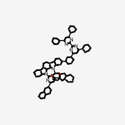 c1ccc(-c2cc(-c3ccccc3)nc(-c3nc(-c4ccccc4)cc(-c4cccc(-c5ccc6c7ccc8c9ccccc9n(-c9nc(-c%10ccc%11ccccc%11c%10)cc(-c%10ccc%11ccccc%11c%10)n9)c8c7n(-c7ccccc7)c6c5)c4)n3)n2)cc1